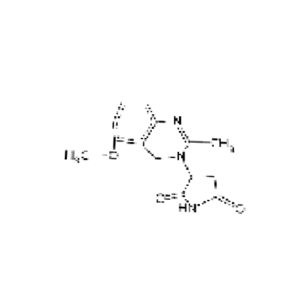 COc1cccc2c1CN(C1CC(=O)NC1=O)C(C)=N2